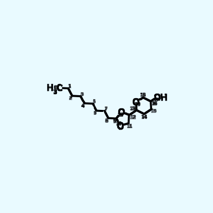 CCCCCCCCCC1OCC(C2CCC(O)CO2)O1